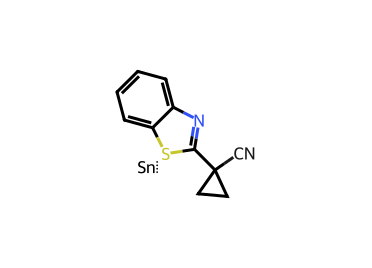 N#CC1(c2nc3ccccc3s2)CC1.[Sn]